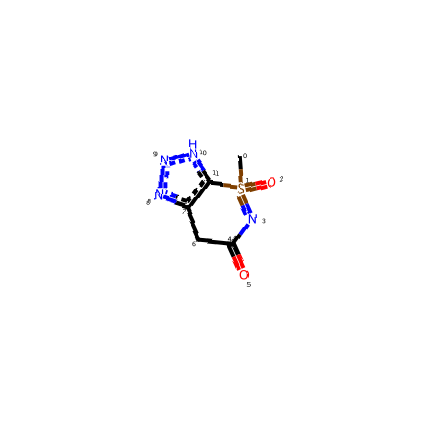 CS1(=O)=NC(=O)Cc2nn[nH]c21